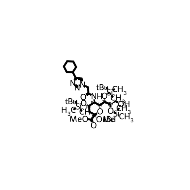 COC(=O)[C@@]1(OC)C[C@H](O[Si](C)(C)C(C)(C)C)[C@@H](NC(=O)Cn2cc(C3CCCCC3)nn2)[C@H]([C@H](O[Si](C)(C)C(C)(C)C)[C@@H](CO)O[Si](C)(C)C(C)(C)C)O1